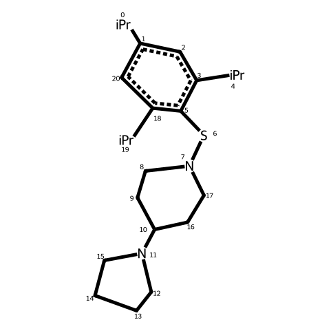 CC(C)c1cc(C(C)C)c(SN2CCC(N3CCCC3)CC2)c(C(C)C)c1